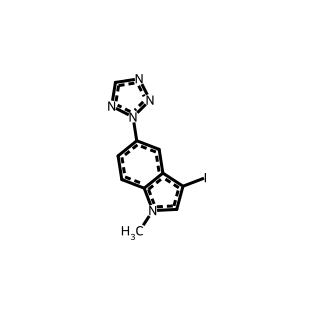 Cn1cc(I)c2cc(-n3ncnn3)ccc21